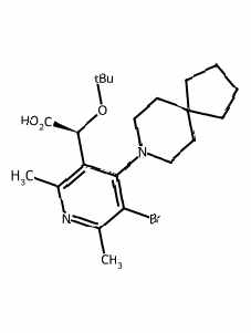 Cc1nc(C)c([C@H](OC(C)(C)C)C(=O)O)c(N2CCC3(CCCC3)CC2)c1Br